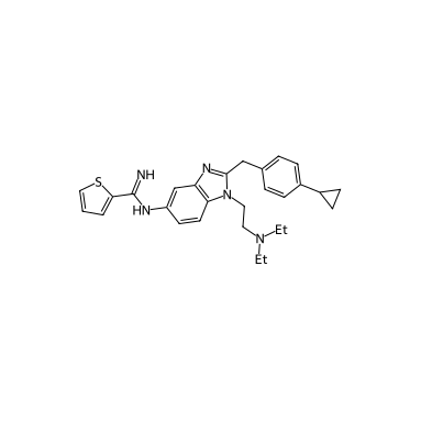 CCN(CC)CCn1c(Cc2ccc(C3CC3)cc2)nc2cc(NC(=N)c3cccs3)ccc21